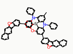 Cc1cc2c3c(c1)N(c1ccccc1)c1cc(-c4ccc5oc6cc7ccccc7cc6c5c4)cc4c1[Si]3(c1ccccc1)c1c(cc(-c3ccc5oc6cc7ccccc7cc6c5c3)cc1N2c1ccccc1)O4